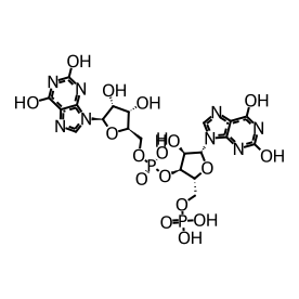 O=P(O)(O)OC[C@H]1O[C@@H](n2cnc3c(O)nc(O)nc32)[C@H](O)[C@@H]1OP(=O)(O)OC[C@H]1O[C@@H](n2cnc3c(O)nc(O)nc32)[C@H](O)[C@@H]1O